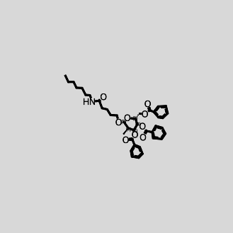 CCCCCCCNC(=O)CCCCO[C@@H]1O[C@H](COC(=O)c2ccccc2)[C@H](OC(=O)c2ccccc2)[C@H](OC(=O)c2ccccc2)[C@H]1C